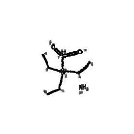 CC[N+](CC)(CC)[SH](=O)=O.N